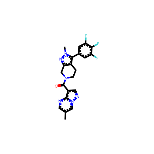 Cc1cnc2c(C(=O)N3CCc4c(nn(C)c4-c4cc(F)c(F)c(F)c4)C3)cnn2c1